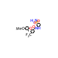 COc1ccc(Oc2cc(C(F)(F)F)ccc2C(=O)Nc2cccc(S(N)(=O)=O)c2)c(C)c1